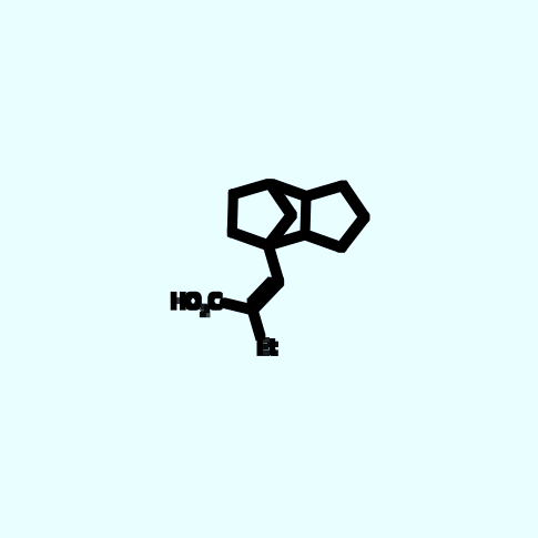 CCC(=CC12CCC(C1)C1CCCC12)C(=O)O